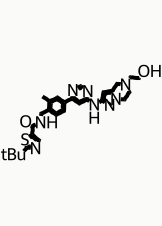 Cc1cc(-c2cc(Nc3cc4n(n3)CCN(CCO)C4)ncn2)ccc1CNC(=O)c1cnc(C(C)(C)C)s1